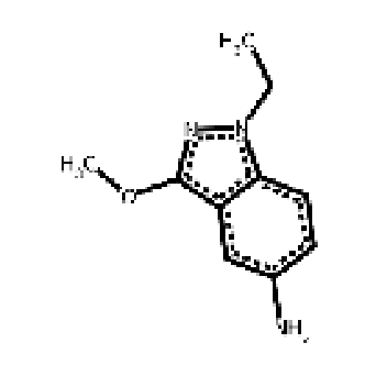 CCn1nc(OC)c2cc(N)ccc21